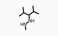 CNNC(C(C)C)C(C)C